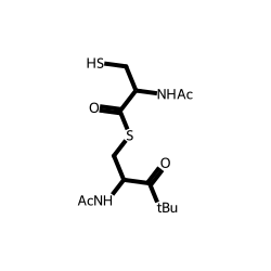 CC(=O)NC(CS)C(=O)SCC(NC(C)=O)C(=O)C(C)(C)C